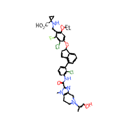 CCOc1cc(OC2CCc3c(-c4cccc(NC(=O)c5nc6c(n5C)CCN(C(C)CO)C6)c4Cl)cccc32)c(Cl)c(F)c1CNC1(C(=O)O)CC1